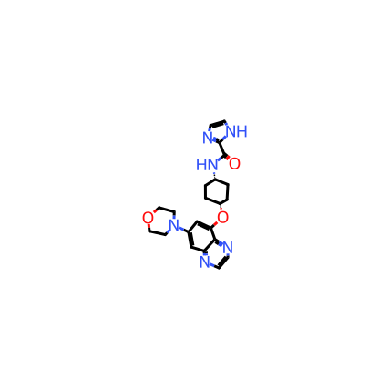 O=C(N[C@H]1CC[C@@H](Oc2cc(N3CCOCC3)cc3nccnc23)CC1)c1ncc[nH]1